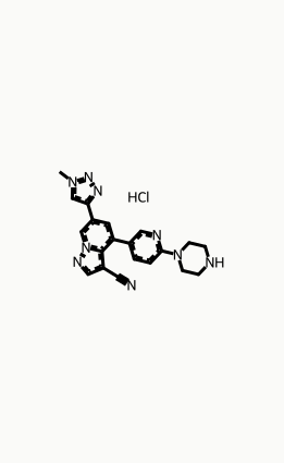 Cl.Cn1cc(-c2cc(-c3ccc(N4CCNCC4)nc3)c3c(C#N)cnn3c2)nn1